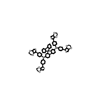 c1ccc2c(c1)-c1ccccc1C21c2cc(N(c3ccc(-c4scc5c4OCCO5)cc3)c3ccc(-c4scc5c4OCCO5)cc3)ccc2-c2ccc(N(c3ccc(-c4scc5c4OCCO5)cc3)c3ccc(-c4scc5c4OCCO5)cc3)cc21